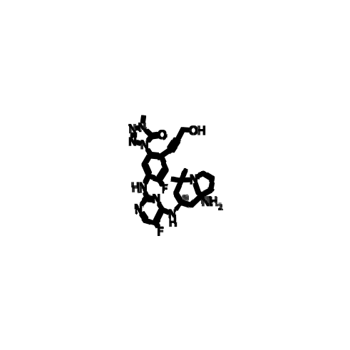 Cn1nnn(-c2cc(Nc3ncc(F)c(N[C@H]4CC(C)(C)N5CCC[C@@]5(N)C4)n3)c(F)cc2C#CCO)c1=O